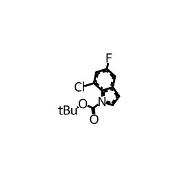 CC(C)(C)OC(=O)n1ccc2cc(F)cc(Cl)c21